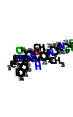 COc1cc(N2CCC3(CC2)CN(CC(F)(F)F)C3)c(C)cc1Nc1ncc(Cl)c(Nc2ccc3ccccc3c2P(C)C)n1